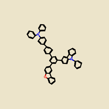 c1ccc(N(c2ccccc2)c2ccc(-c3ccc(-c4cc(-c5ccc6oc7ccccc7c6c5)cc(-c5ccc6c(c5)c5ccccc5n6-c5ccccc5)c4)cc3)cc2)cc1